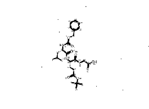 CC(C)C[C@H](NC(=O)OCc1ccccc1)C(=O)N[C@@H](CCC(=O)OC(C)(C)C)C(=O)NCC(=O)O